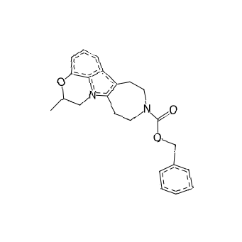 CC1Cn2c3c(c4cccc(c42)O1)CCN(C(=O)OCc1ccccc1)CC3